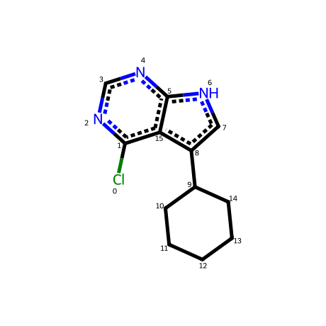 Clc1ncnc2[nH]cc(C3CCCCC3)c12